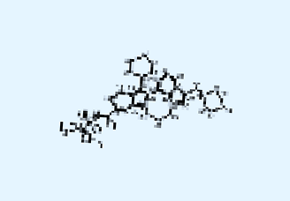 CN(C)S(=O)(=O)NC(=O)c1ccc2c(C3CCCCC3)c3n(c2c1)CCCn1cc(CN2CCCCC2)c2cccc-3c21